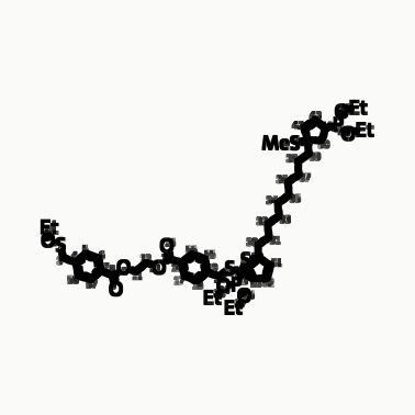 CCOSCc1ccc(C(=O)OCCOC(=O)c2ccc(CSC3(P(OCC)OCC)SC4(CCCCCCCCCCC5(SC)C=CC(P(OCC)OCC)C5)C=CC3C4)cc2)cc1